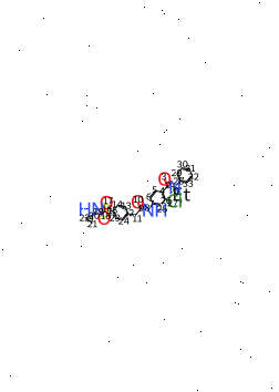 CCN(C(=O)c1ccc(NC(=O)Cc2ccc(S(=O)(=O)NC3CC3)cc2)cc1Cl)c1ccccc1